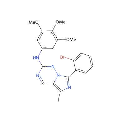 COc1cc(Nc2ncc3c(C)nc(-c4ccccc4Br)n3n2)cc(OC)c1OC